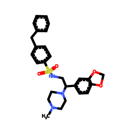 CN1CCN(C(CNS(=O)(=O)c2ccc(Cc3ccccc3)cc2)c2ccc3c(c2)OCO3)CC1